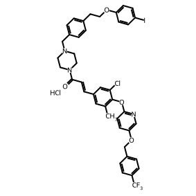 Cc1cc(C=CC(=O)N2CCN(Cc3ccc(CCOc4ccc(I)cc4)cc3)CC2)cc(Cl)c1Oc1ccc(OCc2ccc(C(F)(F)F)cc2)cn1.Cl